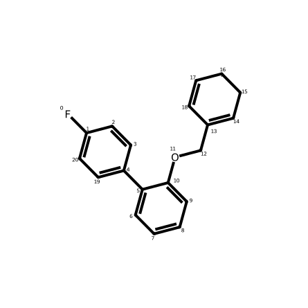 Fc1ccc(-c2ccccc2OCC2=CC[CH]C=C2)cc1